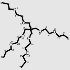 CCCOCCOCC(COCCOCCC)(COCCOCCC)COCCOCCC